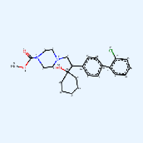 CC(C)(C)OC(=O)N1CCN(CC(c2ccc(-c3ccccc3Cl)cc2)C2(O)CCCCC2)CC1